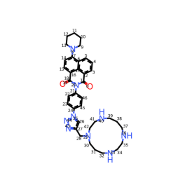 O=C1c2cccc3c(N4CCCCC4)ccc(c23)C(=O)N1c1ccc(-n2cc(CN3CCCNCCNCCCNCC3)nn2)cc1